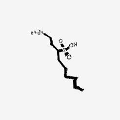 CCCCCCC(CCN)S(=O)(=O)O